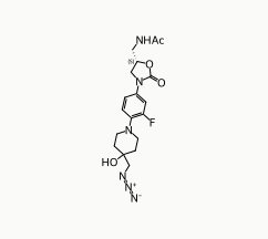 CC(=O)NC[C@H]1CN(c2ccc(N3CCC(O)(CN=[N+]=[N-])CC3)c(F)c2)C(=O)O1